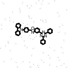 C1=C(c2nc3cc(-c4nc(-c5ccccc5)nc(-c5ccccc5)n4)ccc3o2)CCC(n2c3ccccc3c3ccccc32)=C1